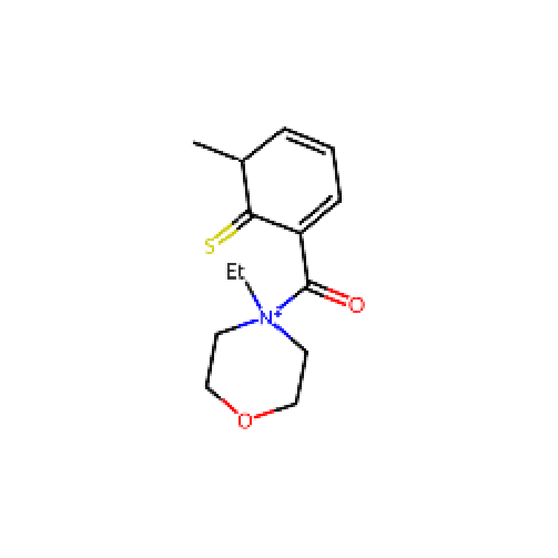 CC[N+]1(C(=O)C2=CC=CC(C)C2=S)CCOCC1